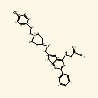 NC(=O)CNc1nc(-c2ccccc2)nc2[nH]c(COC3CCN(CCc4ccc(Cl)cc4)CC3)cc12